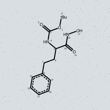 CC(C)(C)OC(=O)NC(CCc1ccccc1)C(=O)NO